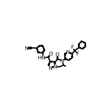 CC1Cn2ncc(C(=O)Nc3cccc(C#N)c3)c2C(=O)N1c1ccc(C(F)(F)c2ccccc2)nc1